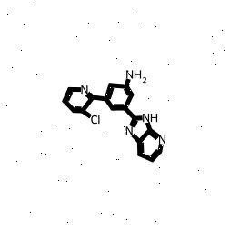 Nc1cc(-c2nc3cccnc3[nH]2)cc(-c2ncccc2Cl)c1